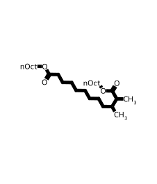 CCCCCCCCOC(=O)CCCCCCCCC(C)C(C)C(=O)OCCCCCCCC